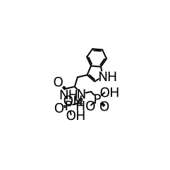 NC(=O)C(Cc1c[nH]c2ccccc12)N(CP(=O)(O)O)CP(=O)(O)O